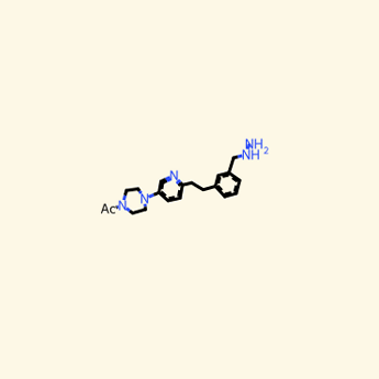 CC(=O)N1CCN(c2ccc(CCc3cccc(CNN)c3)nc2)CC1